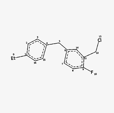 CCc1ccc(Cc2ccc(F)c(CCl)c2)cc1